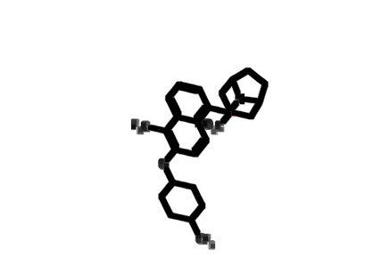 O=C(O)C1CC2CCC(C1)N2Cc1cccc2c(C(F)(F)F)c(OC3CCC(C(F)(F)F)CC3)ccc12